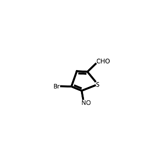 O=Cc1cc(Br)c(N=O)s1